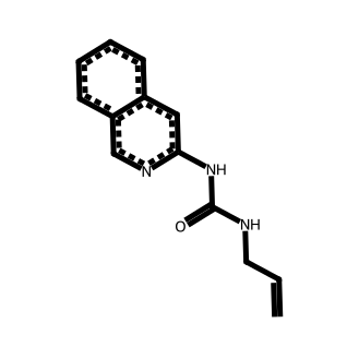 C=CCNC(=O)Nc1cc2ccccc2cn1